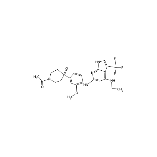 CCNc1cc(Nc2ccc(P3(=O)CCN(C(C)=O)CC3)cc2OC)nc2[nH]cc(C(F)(F)F)c12